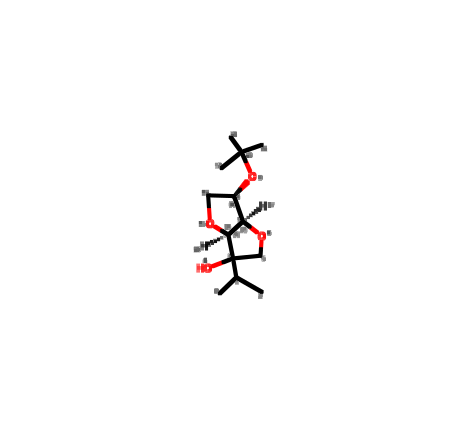 CC(C)C1(O)CO[C@@H]2[C@H](OC(C)(C)C)CO[C@@H]21